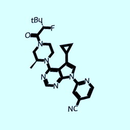 C[C@H]1CN(C(=O)[C@@H](F)C(C)(C)C)CCN1c1ncnc2c1c(C1CC1)cn2-c1cc(C#N)ccn1